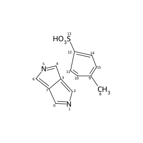 C1=NC=C2C=NC=C12.Cc1ccc(S(=O)(=O)O)cc1